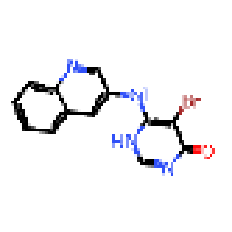 O=c1nc[nH]c(Nc2cnc3ccccc3c2)c1Br